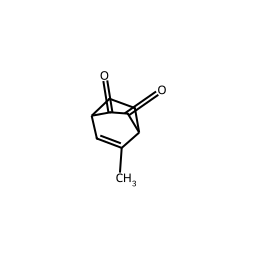 CC1=CC2CCC1C(=O)C2=O